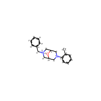 CCc1ccccc1N1CC2CN(Cc3ccccc3)CC(C1)O2